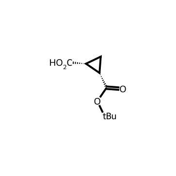 CC(C)(C)OC(=O)[C@H]1C[C@H]1C(=O)O